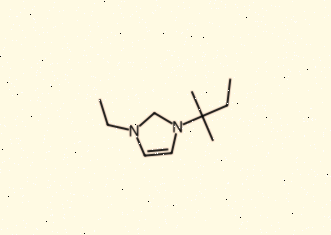 CCN1C=CN(C(C)(C)CC)C1